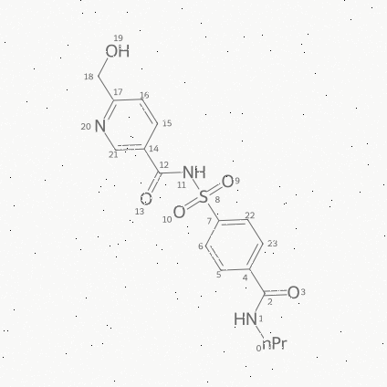 CCCNC(=O)c1ccc(S(=O)(=O)NC(=O)c2ccc(CO)nc2)cc1